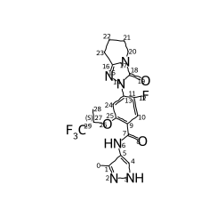 Cc1n[nH]cc1NC(=O)c1cc(F)c(-n2nc3n(c2=O)CCCC3)cc1O[C@@H](C)C(F)(F)F